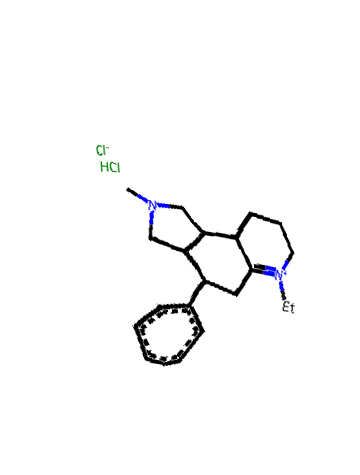 CC[N+]1=C2CC(c3ccccc3)C3CN(C)CC3C2CCC1.Cl.[Cl-]